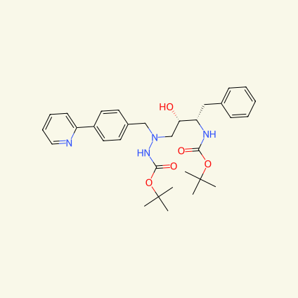 CC(C)(C)OC(=O)N[C@@H](Cc1ccccc1)[C@@H](O)CN(Cc1ccc(-c2ccccn2)cc1)NC(=O)OC(C)(C)C